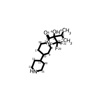 CC(C)C(O)(C(=O)N1CCC(C2CCNCC2)CC1)C(F)(F)F